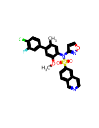 COc1cc(-c2ccc(Cl)c(F)c2)c(C)cc1N(c1ccon1)S(=O)(=O)c1ccc2cnccc2c1